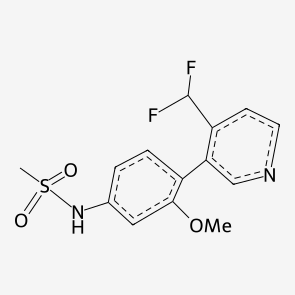 COc1cc(NS(C)(=O)=O)ccc1-c1cnccc1C(F)F